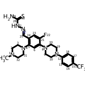 CN1CCN(c2cc(N3CCN(c4ccc(C(F)(F)F)cc4)CC3)c(F)cc2/C=N/NC(N)=S)CC1